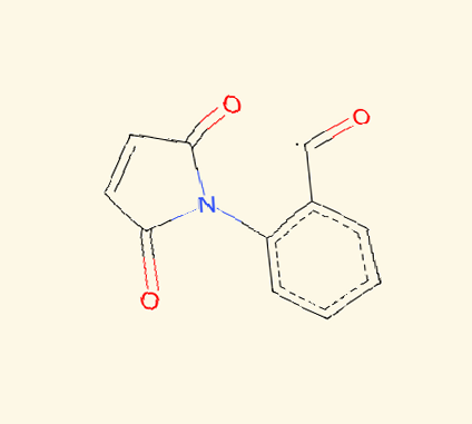 O=[C]c1ccccc1N1C(=O)C=CC1=O